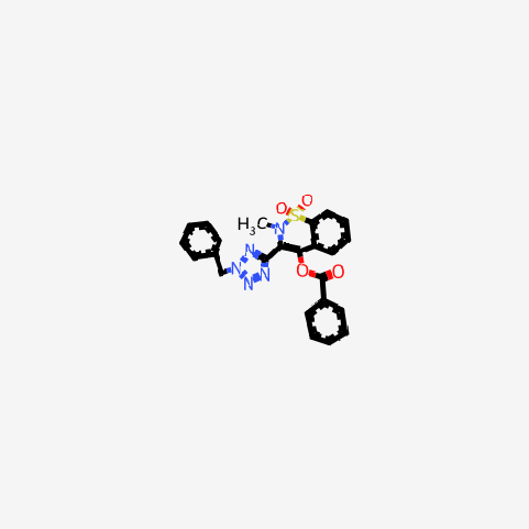 CN1C(c2nnn(Cc3ccccc3)n2)=C(OC(=O)c2ccccc2)c2ccccc2S1(=O)=O